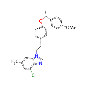 COc1ccc(C(C)Oc2ccc(CCn3cnc4c(Cl)cc(C(F)(F)F)cc43)cc2)cc1